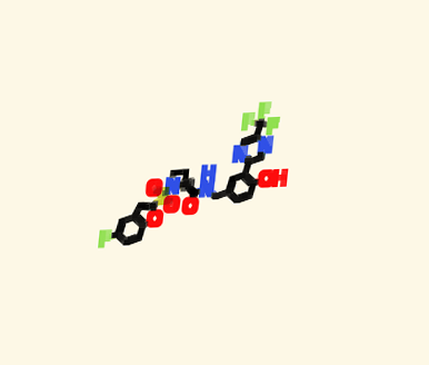 O=C(NCc1ccc(O)c(-c2cnc(C(F)(F)F)cn2)c1)[C@@H]1CCN1S(=O)(=O)c1cc2cc(F)ccc2o1